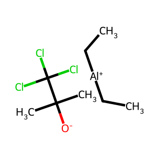 CC(C)([O-])C(Cl)(Cl)Cl.C[CH2][Al+][CH2]C